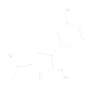 Cc1cccc(C2CNC(C(N)=O)C2)c1.Cl.Cl